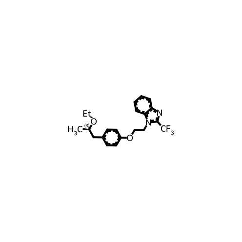 CCO[C@H](C)Cc1ccc(OCCn2c(C(F)(F)F)nc3ccccc32)cc1